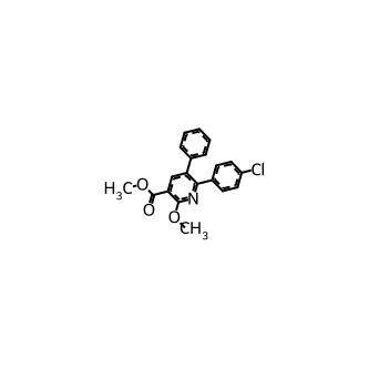 COC(=O)c1cc(-c2ccccc2)c(-c2ccc(Cl)cc2)nc1OC